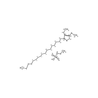 CCCCCCCCCCCCCCCCCN1CC[N+](CC)=C1CC.CCOS(=O)(=O)[O-]